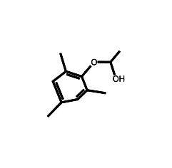 Cc1cc(C)c(OC(C)O)c(C)c1